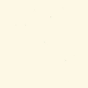 CCCN(C)CCCN(CCCN(C)CCC)CCC[Si](CC)(CC)OC